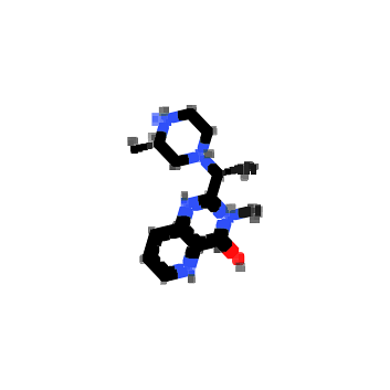 CCC[C@H](c1nc2cccnc2c(=O)n1CC)N1CCN[C@@H](C)C1